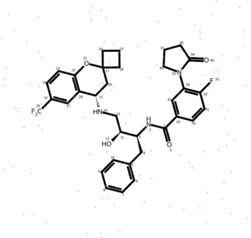 O=C(N[C@@H](Cc1ccccc1)[C@@H](O)CN[C@H]1CC2(CCC2)Oc2ccc(C(F)(F)F)cc21)c1ccc(F)c(N2CCCC2=O)c1